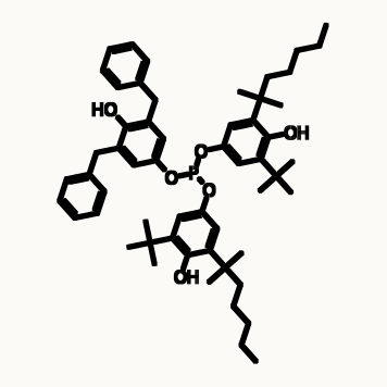 CCCCCC(C)(C)c1cc(OP(Oc2cc(Cc3ccccc3)c(O)c(Cc3ccccc3)c2)Oc2cc(C(C)(C)C)c(O)c(C(C)(C)CCCCC)c2)cc(C(C)(C)C)c1O